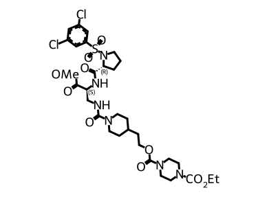 CCOC(=O)N1CCN(C(=O)OCCC2CCN(C(=O)NC[C@H](NC(=O)[C@H]3CCCN3S(=O)(=O)c3cc(Cl)cc(Cl)c3)C(=O)OC)CC2)CC1